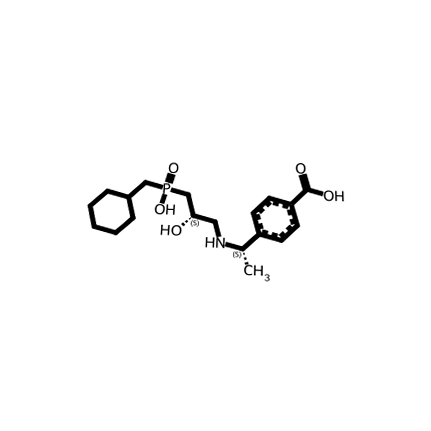 C[C@H](NC[C@H](O)CP(=O)(O)CC1CCCCC1)c1ccc(C(=O)O)cc1